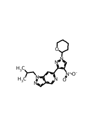 CC(C)Cn1ncc2cnc(-c3nn(C4CCCCO4)cc3[N+](=O)[O-])cc21